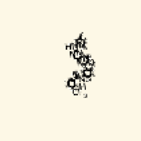 Cc1cc(Nc2ncc3nc(-c4cc(NC(=O)c5cccc(C(F)(F)F)c5)ccc4C)c(=O)n(C)c3n2)n(C)n1